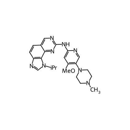 COc1cc(Nc2ncc3ccc4ncn(C(C)C)c4c3n2)ncc1N1CCN(C)CC1